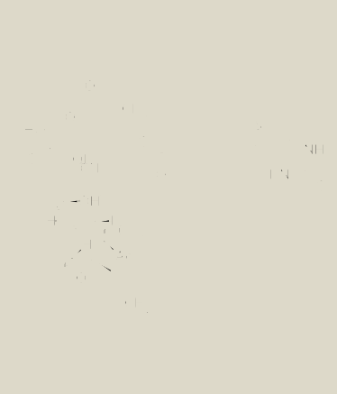 C=CC[C@@]12O[C@@H]1C[C@@H]1[C@H](CC[C@@]3(C)[C@@]1(O)CC[C@@]3(O)C(C)(O)C1CC(COC(=O)CCCCC3SCC4NC(=O)NC43)=C(C)C(=O)O1)[C@@]2(C)C(C)=O